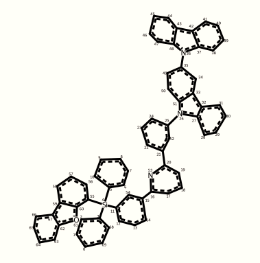 c1ccc([Si](c2ccccc2)(c2cccc(-c3cccc(-c4cccc(-n5c6ccccc6c6cc(-n7c8ccccc8c8ccccc87)ccc65)c4)n3)c2)c2cccc3c2oc2ccccc23)cc1